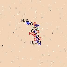 Cc1cn(-c2ccc(S(=O)(=O)Nc3cc(F)c(C(=O)N(C4CCCCC4)[C@@H](Cc4ccc(-n5c(=O)c6ccncc6n(C)c5=O)cn4)C(=O)O)cc3F)cc2)nn1